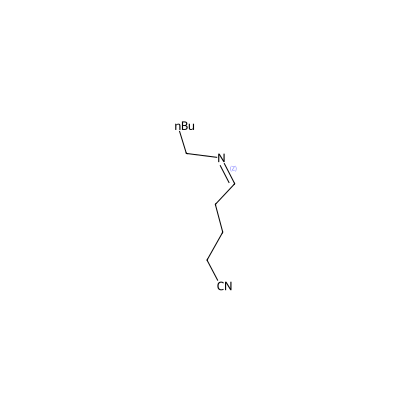 CCCCC/N=C\CCCC#N